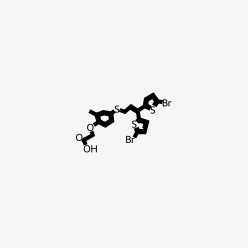 Cc1cc(SCC=C(c2ccc(Br)s2)c2ccc(Br)s2)ccc1OCC(=O)O